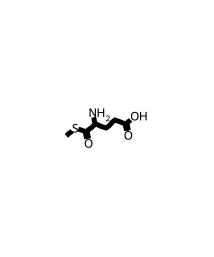 CSC(=O)C(N)CCC(=O)O